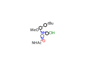 COc1ccc(-c2ccc(C(C)(C)C)cc2)cc1CN[C@H]1CCN(C(=O)CNC(C)=O)C[C@H]1c1ccccc1.Cl